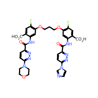 O=C(Nc1cc(OCCCOc2cc(NC(=O)c3ccc(-n4ccnc4)nn3)c(C(=O)O)cc2F)c(F)cc1C(=O)O)c1ccc(N2CCOCC2)nn1